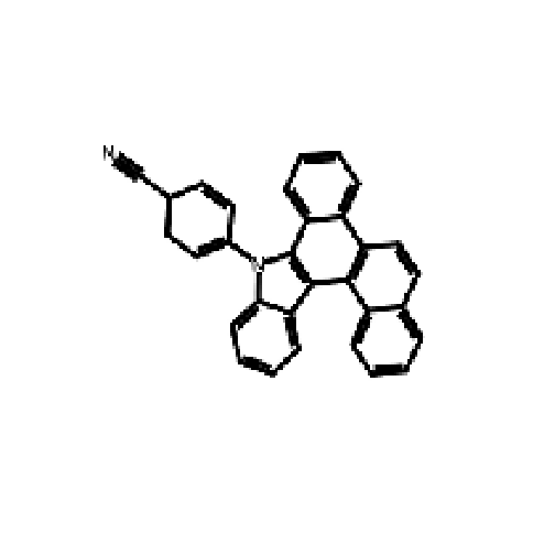 N#CC1C=CC(n2c3ccccc3c3c4c5ccccc5ccc4c4ccccc4c32)=CC1